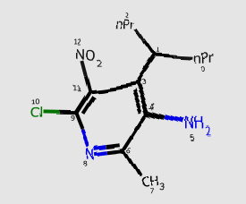 CCCC(CCC)c1c(N)c(C)nc(Cl)c1[N+](=O)[O-]